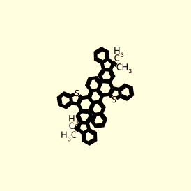 CC1(C)c2ccccc2-c2ccc(-c3c(-c4c5ccccc5c(-c5sc6ccccc6c5-c5ccc6c(c5)C(C)(C)c5ccccc5-6)c5cc6ccccc6cc45)sc4ccccc34)cc21